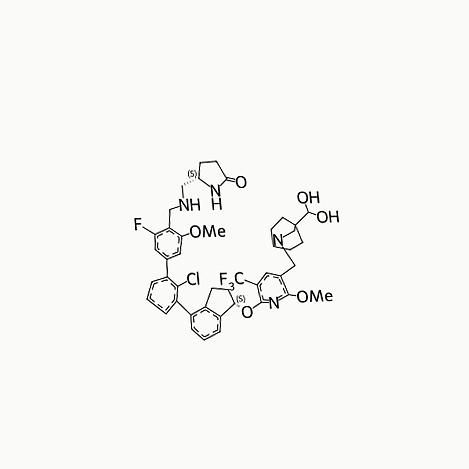 COc1cc(-c2cccc(-c3cccc4c3CC[C@@H]4Oc3nc(OC)c(CN4CC5(C(O)O)CCC4CC5)cc3C(F)(F)F)c2Cl)cc(F)c1CNC[C@@H]1CCC(=O)N1